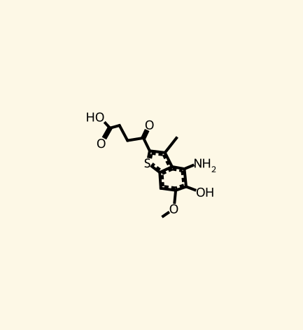 COc1cc2sc(C(=O)CCC(=O)O)c(C)c2c(N)c1O